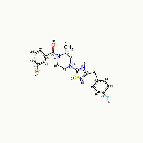 CC1CN(c2nc(Cc3ccc(F)cc3)ns2)CCN1C(=O)c1cccc(Br)c1